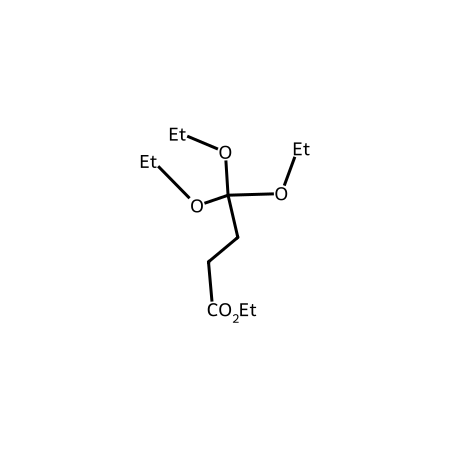 CCOC(=O)CCC(OCC)(OCC)OCC